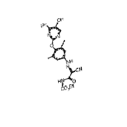 CCOC(=O)NC(=O)/C(C#N)=N/Nc1cc(C)c(Oc2ncc(O)c(C(C)C)n2)c(C)c1